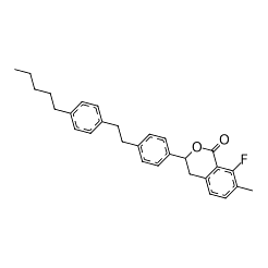 CCCCCc1ccc(CCc2ccc(C3Cc4ccc(C)c(F)c4C(=O)O3)cc2)cc1